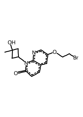 CC1(O)CC(n2c(=O)ccc3cc(OCCBr)cnc32)C1